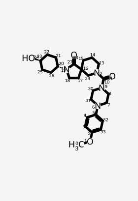 COc1ccc(N2CCN(C(=O)N3CCCC4(CCN([C@H]5CC[C@H](O)CC5)C4=O)C3)CC2)cc1